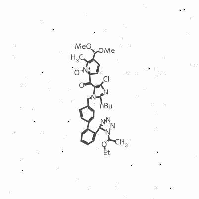 CCCCc1nc(Cl)c(C(=O)c2ccc(C(OC)OC)c(C)[n+]2[O-])n1Cc1ccc(-c2ccccc2-c2nnnn2C(C)OCC)cc1